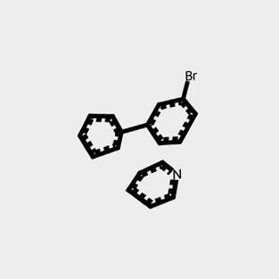 Brc1cccc(-c2ccccc2)c1.c1ccncc1